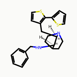 c1ccc(CN[C@@H]2C3CCN(CC3)[C@@H]2Cc2ccsc2-c2cccs2)cc1